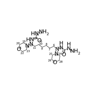 NNC(=O)NN(CCCCCCN(NC(=O)NN)N1CCOCC1)N1CCOCC1